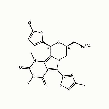 CC(=O)NC[C@H]1Cn2c(-c3nc(C)cs3)c3c(=O)n(C)c(=O)n(C)c3c2[C@@H](c2ccc(Cl)o2)S1